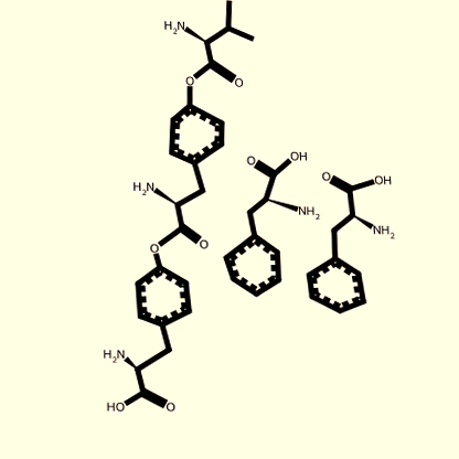 CC(C)[C@H](N)C(=O)Oc1ccc(C[C@H](N)C(=O)Oc2ccc(C[C@H](N)C(=O)O)cc2)cc1.N[C@@H](Cc1ccccc1)C(=O)O.N[C@@H](Cc1ccccc1)C(=O)O